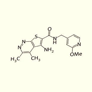 COc1cc(CNC(=O)c2sc3nnc(C)c(C)c3c2N)ccn1